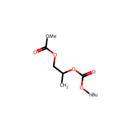 [CH2]C(COC(=O)OC)OC(=O)OCCCC